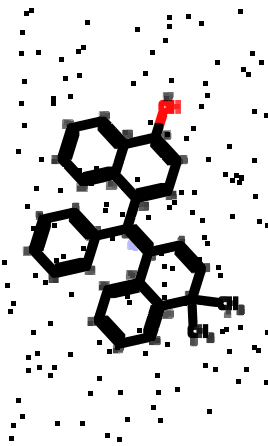 CC1(C)C=C/C(=C(/c2ccccc2)c2ccc(O)c3ccccc23)c2ccccc21